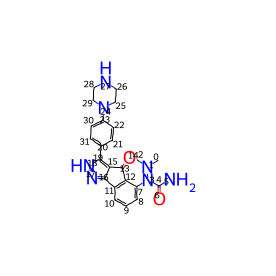 CN(C)N(C(N)=O)c1cccc2c1C(=O)c1c-2n[nH]c1-c1ccc(N2CCNCC2)cc1